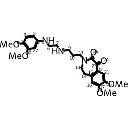 COc1ccc(NCCNCCCN2CCc3cc(OC)c(OC)cc3C(=O)C2=O)cc1OC